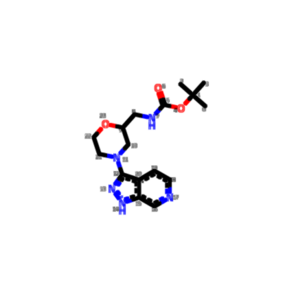 CC(C)(C)OC(=O)NCC1CN(c2n[nH]c3cnccc23)CCO1